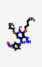 CCCCOC1=C(N=N)C(N[C@H]2CC[C@@H](N=O)C2)=NC(SCCC)N1I